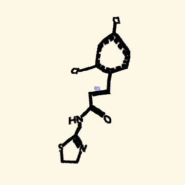 O=C(/C=C/c1ccc(Cl)cc1Cl)NC1=NCCS1